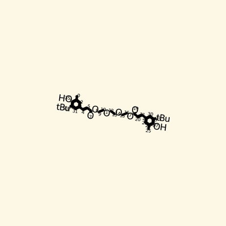 Cc1cc(/C=C/C(=O)OCCOCCOCCOC(=O)/C=C/c2cc(C)c(O)c(C(C)(C)C)c2)cc(C(C)(C)C)c1O